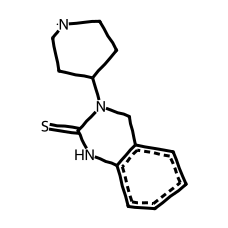 S=C1Nc2ccccc2CN1C1CC[N]CC1